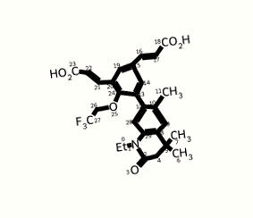 CCN1C(=O)CC(C)(C)c2cc(C)c(-c3cc(C=CC(=O)O)cc(C=CC(=O)O)c3OCC(F)(F)F)cc21